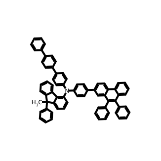 CC1(c2ccccc2)c2ccccc2-c2c(N(c3ccc(-c4ccc(-c5ccccc5)cc4)cc3)c3ccc(-c4ccc5c(c4)c(-c4ccccc4)c(-c4ccccc4)c4ccccc45)cc3)cccc21